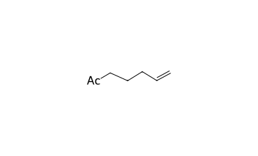 C=CCCCC(C)=O